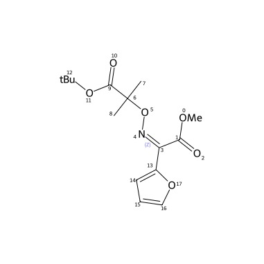 COC(=O)/C(=N\OC(C)(C)C(=O)OC(C)(C)C)c1ccco1